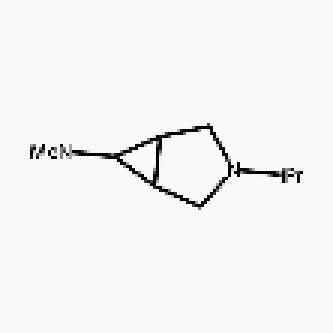 CNC1C2CN(C(C)C)CC21